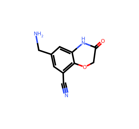 N#Cc1cc(CN)cc2c1OCC(=O)N2